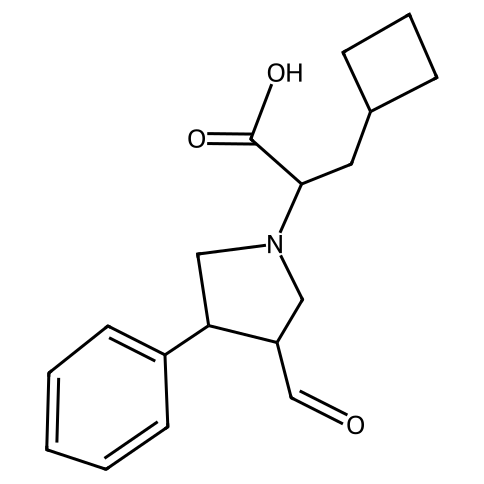 O=CC1CN(C(CC2CCC2)C(=O)O)CC1c1ccccc1